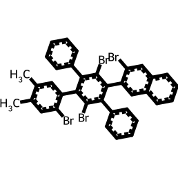 Cc1cc(Br)c(-c2c(Br)c(-c3ccccc3)c(-c3cc4ccccc4cc3Br)c(Br)c2-c2ccccc2)cc1C